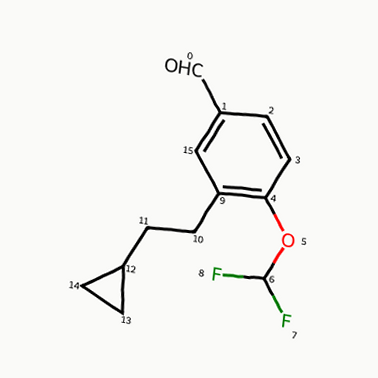 O=Cc1ccc(OC(F)F)c(CCC2CC2)c1